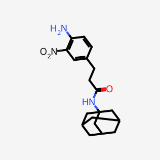 Nc1ccc(CCC(=O)NC23CC4CC(CC(C4)C2)C3)cc1[N+](=O)[O-]